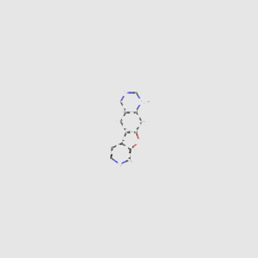 c1cc2c(cn1)oc1cc3ncncc3cc12